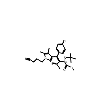 COC(=O)[C@@H](OC(C)(C)C)c1c(C)nc2c(c(C)c(C)n2CCCC#N)c1-c1ccc(Cl)cc1